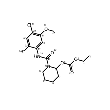 CCOC(=O)OC1CCCCN1C(=O)Nc1cc(OC)c(Cl)cc1F